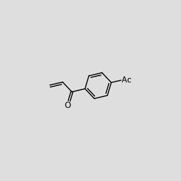 C=CC(=O)c1ccc(C(C)=O)cc1